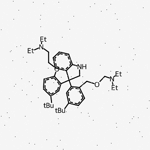 CCN(CC)CCOc1ccc(C(C)(C)C)cc1C1(c2cc(C(C)(C)C)ccc2COCN(CC)CC)CNc2ccccc21